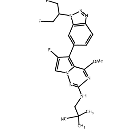 COc1nc(NCC(C)(C)C#N)nn2cc(F)c(-c3ccc4nnn(C(CF)CF)c4c3)c12